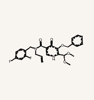 C=CCN(Cc1ccc(F)cc1F)C(=O)c1c[nH]c(C(OC)OC)c(OCc2ccccc2)c1=O